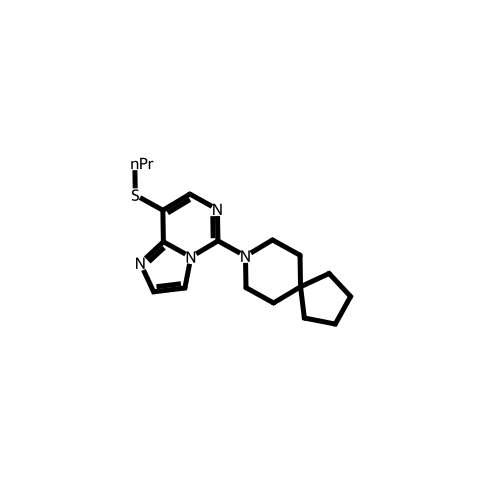 CCCSc1cnc(N2CCC3(CCCC3)CC2)n2ccnc12